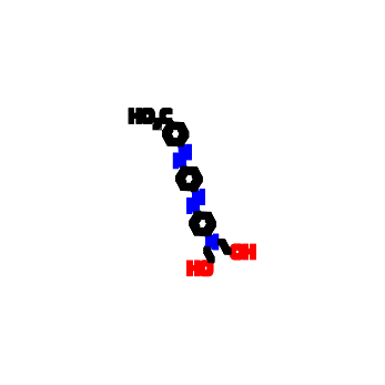 O=C(O)c1ccc(N=Nc2ccc(N=Nc3ccc(N(CCO)CCO)cc3)cc2)cc1